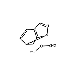 CC(C)(C)OC=O.c1cc2cnn3c2cc1-3